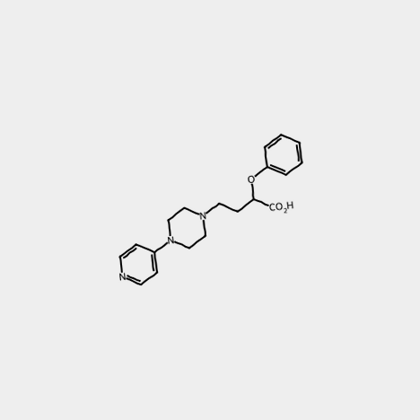 O=C(O)C(CCN1CCN(c2ccncc2)CC1)Oc1ccccc1